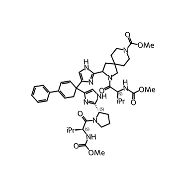 COC(=O)N[C@H](C(=O)N1CC2(CCN(C(=O)OC)CC2)CC1c1nc(C2(c3c[nH]c([C@@H]4CCCN4C(=O)[C@@H](NC(=O)OC)C(C)C)n3)C=CC(c3ccccc3)=CC2)c[nH]1)C(C)C